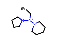 CC(C)C[N+](N1CCCCC1)N1CCCC1